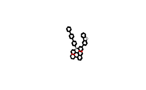 c1ccc(-c2ccc(-c3ccc(N(c4cccc(-c5ccc6oc7ccccc7c6c5)c4)c4ccccc4-c4cccc5cccc(C6CCCCC6)c45)cc3)cc2)cc1